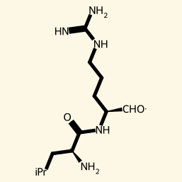 CC(C)C[C@H](N)C(=O)N[C@H]([C]=O)CCCNC(=N)N